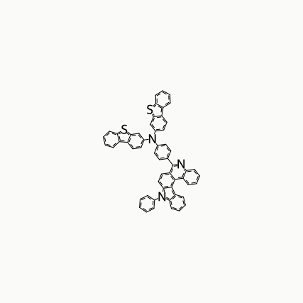 c1ccc(-n2c3ccccc3c3c4c(ccc32)c(-c2ccc(N(c3ccc5c(c3)sc3ccccc35)c3ccc5c(c3)sc3ccccc35)cc2)nc2ccccc24)cc1